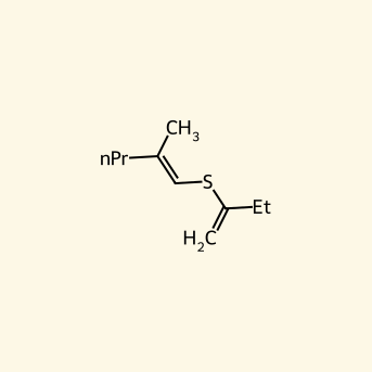 C=C(CC)S/C=C(\C)CCC